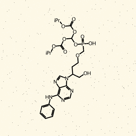 CC(C)OC(=O)OC(OC(=O)OC(C)C)OP(=O)(O)COCCC(CO)n1cnc2c(Nc3ccccc3)ncnc21